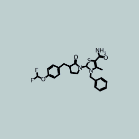 CC1=C(C(N)=O)SC(N2CCC(Cc3ccc(OC(F)F)cc3)C2=O)N1Cc1ccccc1